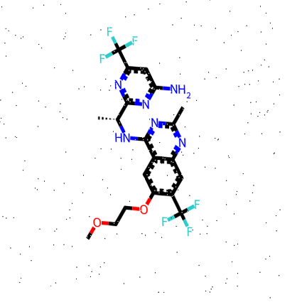 COCCOc1cc2c(N[C@H](C)c3nc(N)cc(C(F)(F)F)n3)nc(C)nc2cc1C(F)(F)F